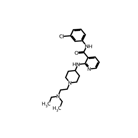 CCN(CC)CCN1CCC(Nc2ncccc2C(=O)Nc2cccc(Cl)c2)CC1